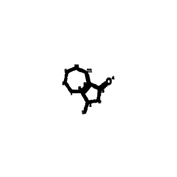 CC1CC(=O)C2=C1CCCCC2